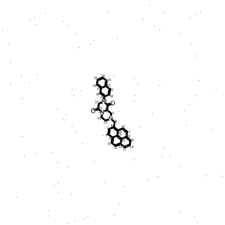 O=C1C2CN(Cc3ccc4ccc5cccc6ccc3c4c56)CCN2C(=O)CN1c1ccc2ccccc2c1